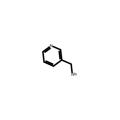 CCCCc1[c]ccnc1